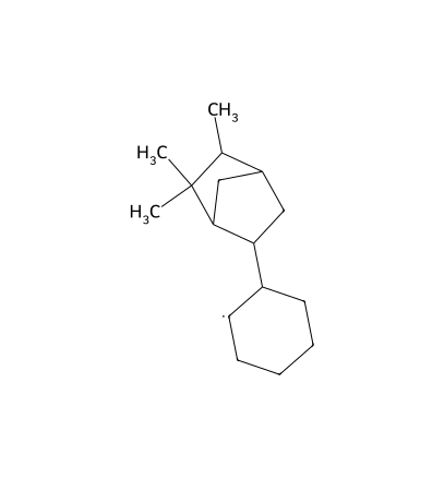 CC1C2CC(C3[CH]CCCC3)C(C2)C1(C)C